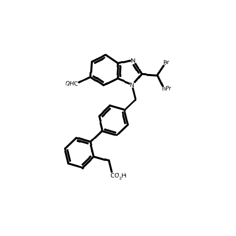 CCCC(Br)c1nc2ccc(C=O)cc2n1Cc1ccc(-c2ccccc2CC(=O)O)cc1